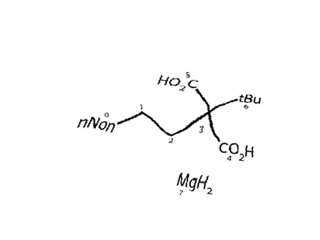 CCCCCCCCCCCC(C(=O)O)(C(=O)O)C(C)(C)C.[MgH2]